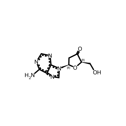 Nc1ncnc2c1ncn2[C@H]1CC(=O)[C@@H](CO)O1